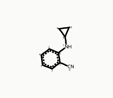 N#Cc1ccccc1NC1CC1